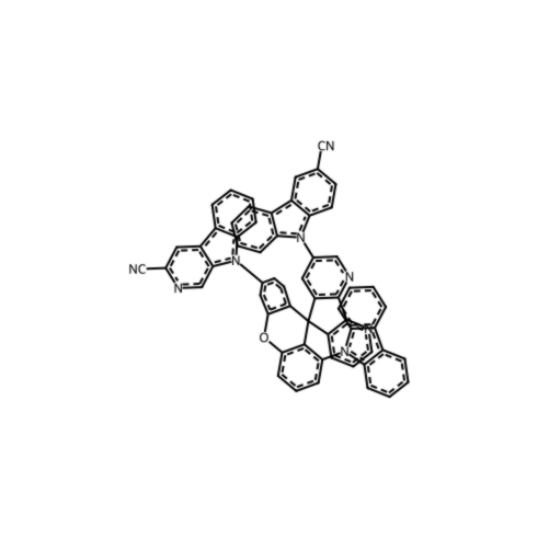 N#Cc1ccc2c(c1)c1ccccc1n2-c1cnc2c(c1)C1(c3ccc(-n4c5ccccc5c5cc(C#N)ncc54)cc3Oc3cccc(-n4c5ccccc5c5ccccc54)c31)c1cccnc1-2